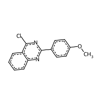 COc1ccc(-c2nc(Cl)c3ccccc3n2)cc1